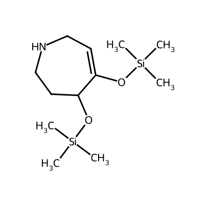 C[Si](C)(C)OC1=CCNCCC1O[Si](C)(C)C